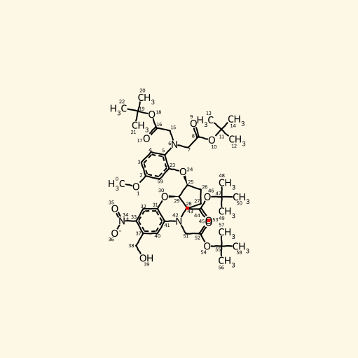 COc1ccc(N(CC(=O)OC(C)(C)C)CC(=O)OC(C)(C)C)c(O[C@H]2CCC[C@H]2Oc2cc([N+](=O)[O-])c(CO)cc2N(CC(=O)OC(C)(C)C)CC(=O)OC(C)(C)C)c1